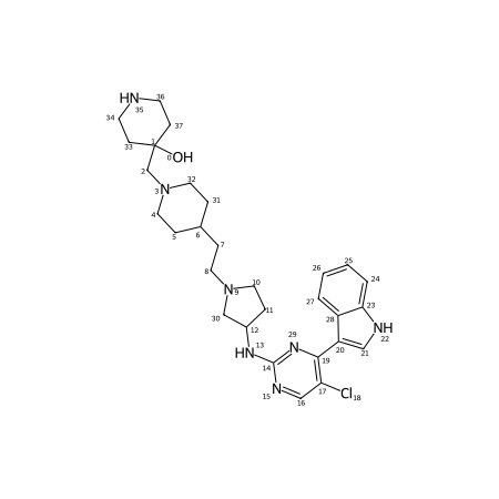 OC1(CN2CCC(CCN3CCC(Nc4ncc(Cl)c(-c5c[nH]c6ccccc56)n4)C3)CC2)CCNCC1